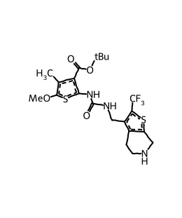 COc1sc(NC(=O)NCc2c(C(F)(F)F)sc3c2CCNC3)c(C(=O)OC(C)(C)C)c1C